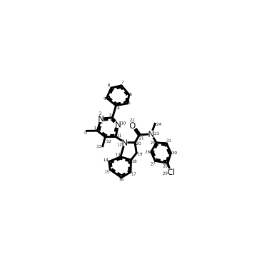 Cc1nc(-c2ccccc2)nc(N2c3ccccc3CC2C(=O)N(C)c2ccc(Cl)cc2)c1C